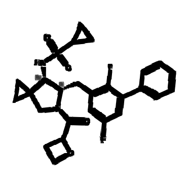 O=C(C1CCO1)N1CC2(CC2)[C@H](NS(=O)(=O)C2CC2)[C@@H]1Cc1cc(F)cc(-c2ccccc2)c1F